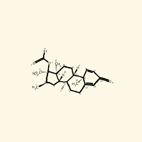 CCC(=O)O[C@]1(C(=O)O)[C@H](C)C[C@H]2[C@@H]3CCC4=CC(=O)C=C[C@]4(C)[C@H]3CC[C@@]21C